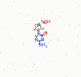 Nc1ncn([C@@H]2CO[C@H](CO)C2)c(=O)n1